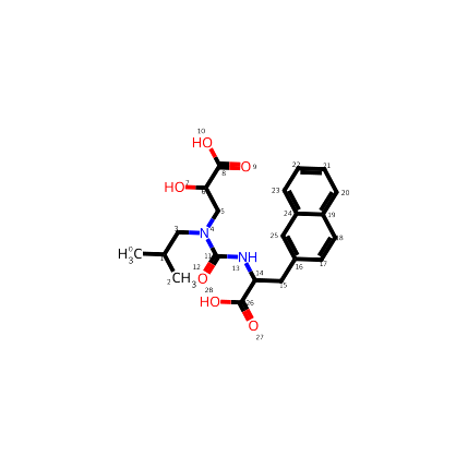 CC(C)CN(CC(O)C(=O)O)C(=O)NC(Cc1ccc2ccccc2c1)C(=O)O